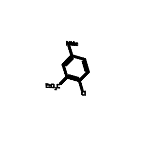 CCOC(=O)c1cc(NC)ccc1Cl